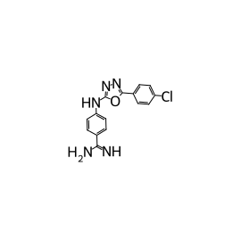 N=C(N)c1ccc(Nc2nnc(-c3ccc(Cl)cc3)o2)cc1